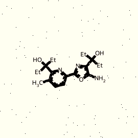 CCC(O)(CC)c1nc(-c2nc(C(O)(CC)CC)c(N)o2)ccc1C